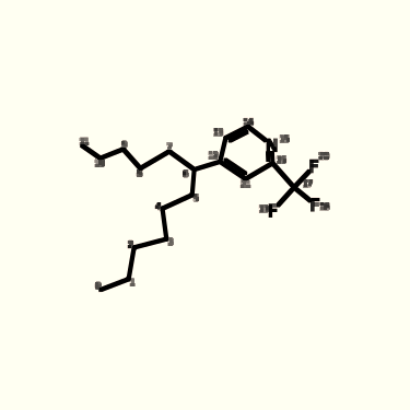 CCCCCCC(CCCCC)c1ccnc(C(F)(F)F)c1